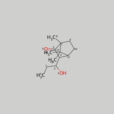 CCC(O)C1C(=O)C2(C)CCC1C2(C)C